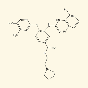 Cc1ccc(Oc2ccc(C(=O)NCCN3CCCC3)cc2NC(=O)Nc2c(C(C)C)cccc2C(C)C)cc1C